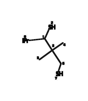 CC(C)C(S)C(C)(C)CS